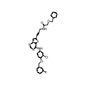 O=C(COCc1ccccc1)NCC#Cc1cc2ncnc(Nc3ccc(OCc4cccc(F)c4)c(Cl)c3)c2s1